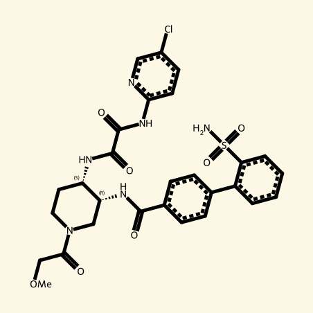 COCC(=O)N1CC[C@H](NC(=O)C(=O)Nc2ccc(Cl)cn2)[C@H](NC(=O)c2ccc(-c3ccccc3S(N)(=O)=O)cc2)C1